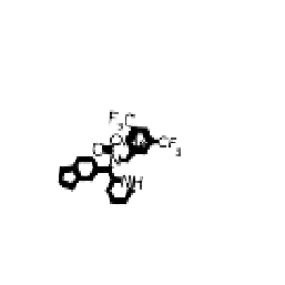 COC(=O)N(Cc1cc(C(F)(F)F)cc(C(F)(F)F)c1)C(c1ccc2c(c1)CCC2)C1CCCCN1